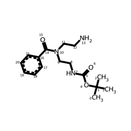 CC(C)(C)OC(=O)NCCN(CCN)C(=O)c1ccccc1